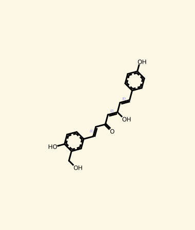 O=C(/C=C(O)/C=C/c1ccc(O)cc1)/C=C/c1ccc(O)c(CO)c1